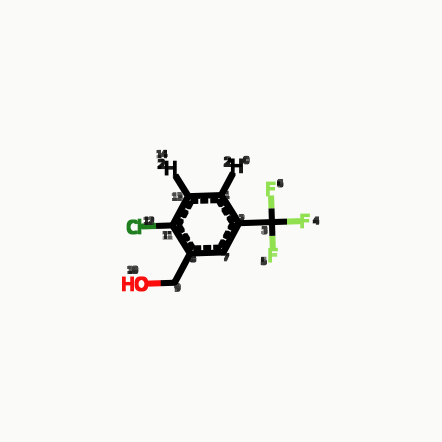 [2H]c1c(C(F)(F)F)cc(CO)c(Cl)c1[2H]